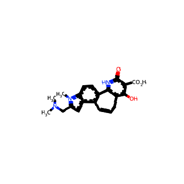 CN(C)Cc1cc2c3c(ccc2n1C)-c1[nH]c(=O)c(C(=O)O)c(O)c1CC=C3